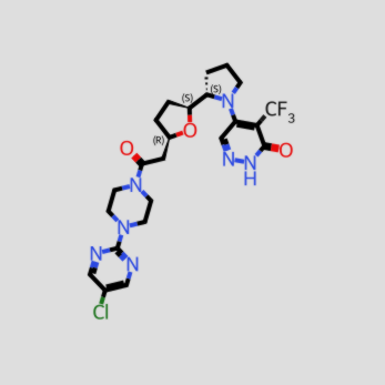 O=C(C[C@H]1CC[C@@H]([C@@H]2CCCN2c2cn[nH]c(=O)c2C(F)(F)F)O1)N1CCN(c2ncc(Cl)cn2)CC1